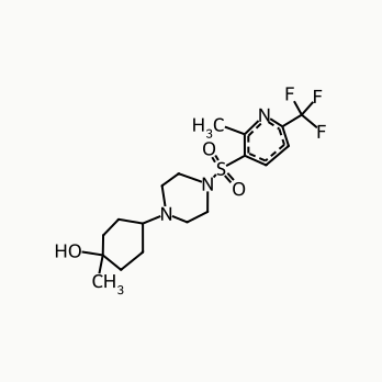 Cc1nc(C(F)(F)F)ccc1S(=O)(=O)N1CCN(C2CCC(C)(O)CC2)CC1